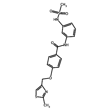 Cc1nc(COc2ccc(C(=O)Nc3cccc(NS(C)(=O)=O)c3)cc2)cs1